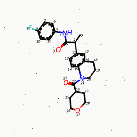 CC(C(=O)Nc1ccc(F)cc1)c1ccc2c(c1)CCCN2C(=O)C1CCOCC1